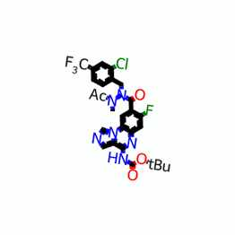 CC(=O)N(C)N(Cc1ccc(C(F)(F)F)cc1Cl)C(=O)c1cc2c(cc1F)nc(NC(=O)OC(C)(C)C)c1cncn12